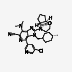 CN(C)c1c(C#N)nc(-c2cncc(Cl)c2)c2c1nc(N1CCO[C@@H]3CCC[C@H]31)n2C[C@H]1CC[C@H](C)CC1